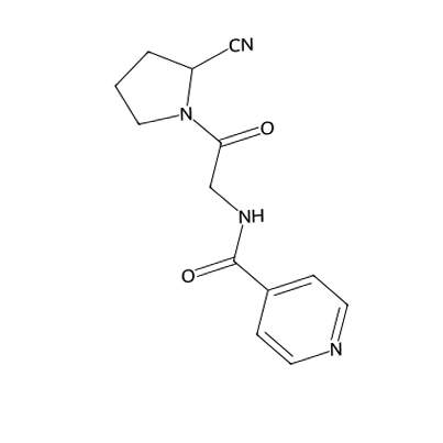 N#CC1CCCN1C(=O)CNC(=O)c1ccncc1